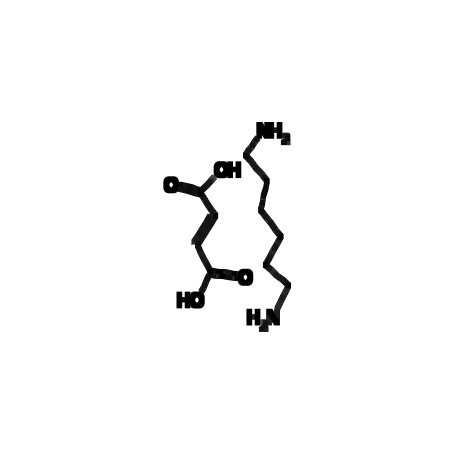 NCCCCCCN.O=C(O)/C=C/C(=O)O